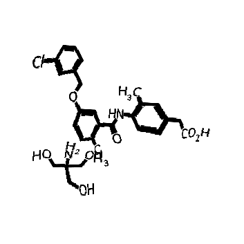 Cc1cc(CC(=O)O)ccc1NC(=O)c1cc(OCc2cccc(Cl)c2)ccc1C.NC(CO)(CO)CO